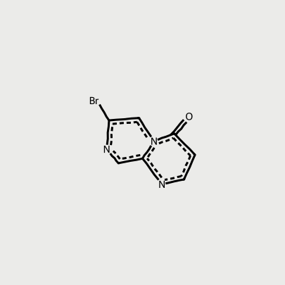 O=c1ccnc2cnc(Br)cn12